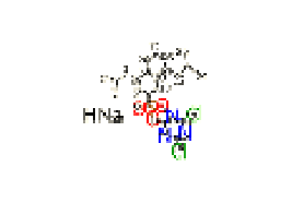 CC(C)Cc1cc(S(=O)(=O)Oc2nc(Cl)nc(Cl)n2)cc2c(CC(C)C)cccc12.[NaH]